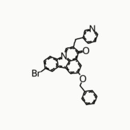 O=c1c(Cc2cccnc2)cn2c3ccc(Br)cc3c3cc(OCc4ccccc4)cc1c32